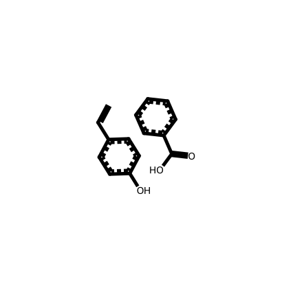 C=Cc1ccc(O)cc1.O=C(O)c1ccccc1